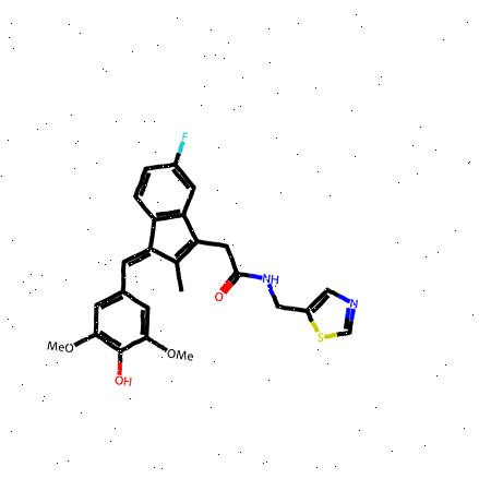 COc1cc(C=C2C(C)=C(CC(=O)NCc3cncs3)c3cc(F)ccc32)cc(OC)c1O